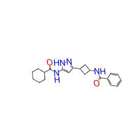 O=C(NC1CC(c2cc(NC(=O)C3CCCCC3)[nH]n2)C1)c1ccccc1